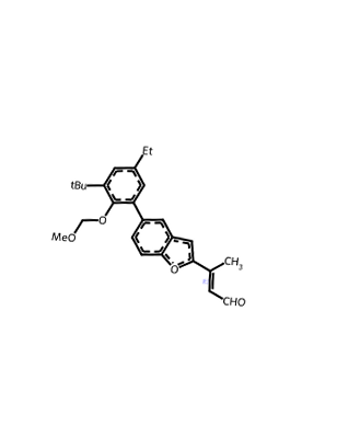 CCc1cc(-c2ccc3oc(/C(C)=C/C=O)cc3c2)c(OCOC)c(C(C)(C)C)c1